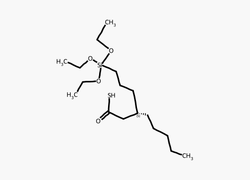 CCCCC[C@@H](CCC[Si](OCC)(OCC)OCC)CC(=O)S